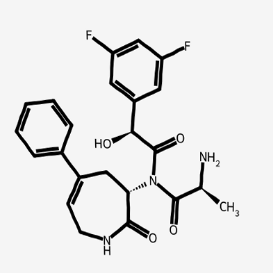 C[C@H](N)C(=O)N(C(=O)[C@@H](O)c1cc(F)cc(F)c1)[C@H]1CC(c2ccccc2)=CCNC1=O